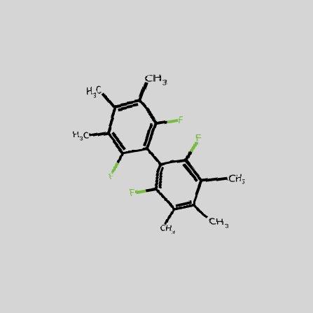 Cc1c(C)c(F)c(-c2c(F)c(C)c(C)c(C)c2F)c(F)c1C